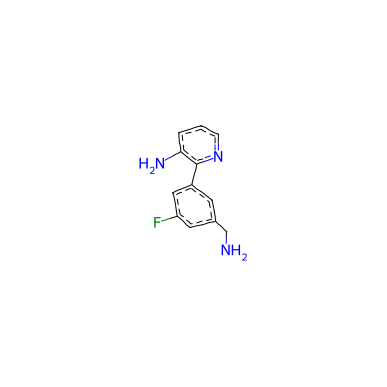 NCc1cc(F)cc(-c2ncccc2N)c1